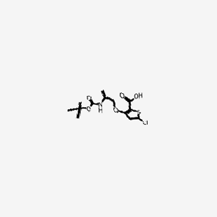 CC(COc1cc(Cl)sc1C(=O)O)NC(=O)OC(C)(C)C